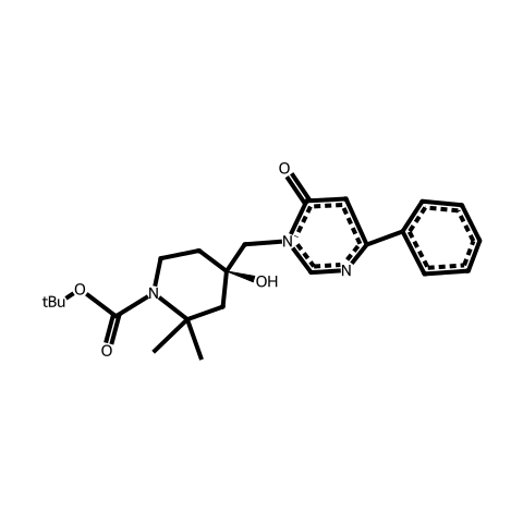 CC(C)(C)OC(=O)N1CC[C@](O)(Cn2cnc(-c3ccccc3)cc2=O)CC1(C)C